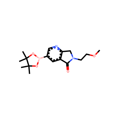 COCCN1Cc2ncc(B3OC(C)(C)C(C)(C)O3)cc2C1=O